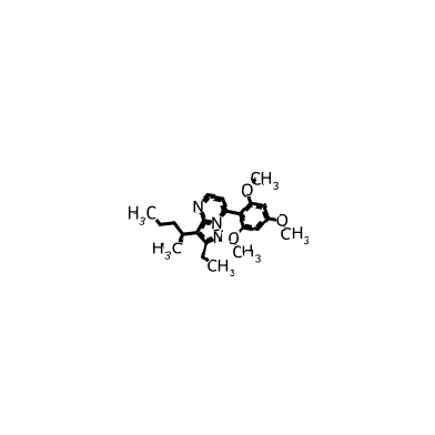 CCCC(C)c1c(CC)nn2c(-c3c(OC)cc(OC)cc3OC)ccnc12